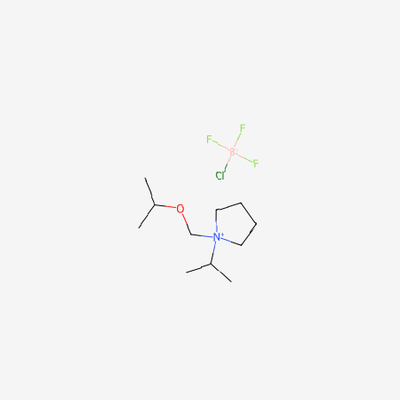 CC(C)OC[N+]1(C(C)C)CCCC1.F[B-](F)(F)Cl